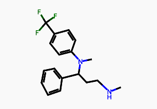 CNCCC(c1ccccc1)N(C)c1ccc(C(F)(F)F)cc1